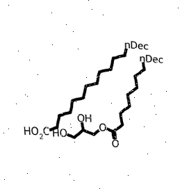 CCCCCCCCCCCCCCCCCC(=O)OCC(O)CO.CCCCCCCCCCCCCCCCCCCCCC(=O)O